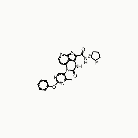 Cc1nc(Oc2ccccc2)ncc1N1C(=O)Nc2c(C(=O)N[C@@H]3CCC[C@@H]3C)sc3nccc1c23